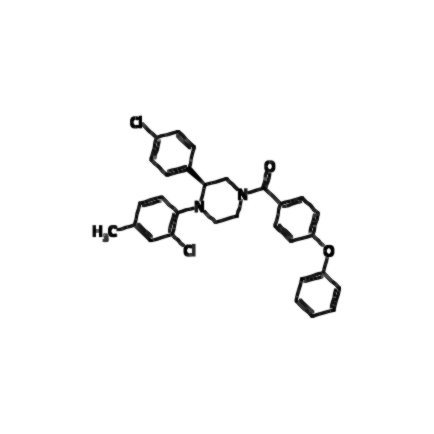 Cc1ccc(N2CCN(C(=O)c3ccc(Oc4ccccc4)cc3)C[C@@H]2c2ccc(Cl)cc2)c(Cl)c1